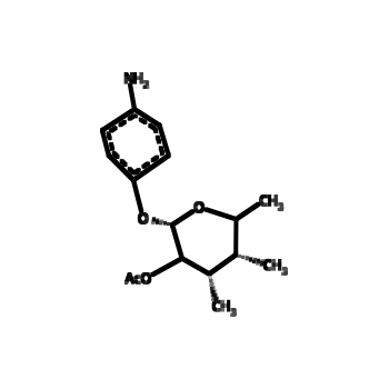 CC(=O)OC1[C@H](Oc2ccc(N)cc2)OC(C)[C@H](C)[C@@H]1C